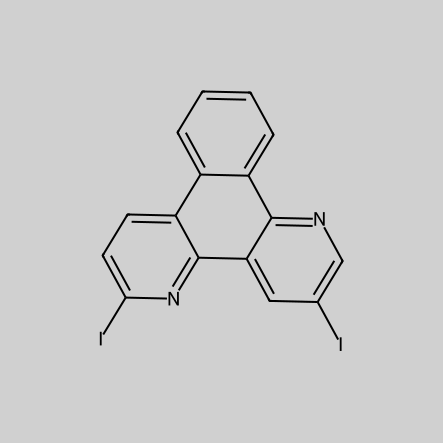 Ic1cnc2c3ccccc3c3ccc(I)nc3c2c1